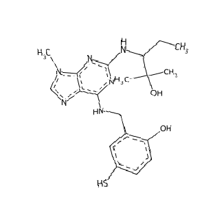 CCC(Nc1nc(NCc2cc(S)ccc2O)c2ncn(C)c2n1)C(C)(C)O